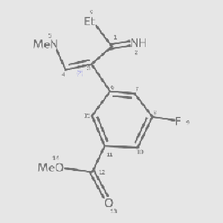 CCC(=N)/C(=C\NC)c1cc(F)cc(C(=O)OC)c1